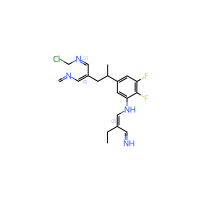 C=N/C=C(\C=N/CCl)CC(C)c1cc(F)c(F)c(N/C=C(\C=N)CC)c1